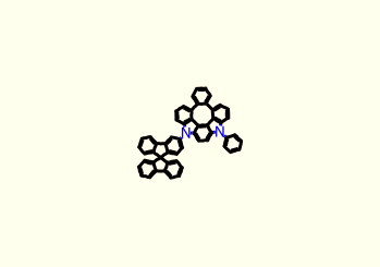 c1ccc(-n2c3cccc4c5ccccc5c5cccc6c5c5c(c43)c2ccc5n6-c2ccc3c(c2)-c2ccccc2C32c3ccccc3-c3ccccc32)cc1